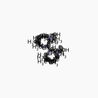 COC1C[C@H](/C=C(\C)[C@H]2OC(=O)[C@@H]3CCCCN3C(=O)C(=O)[C@]3(O)O[C@H]([C@@H](OC)C[C@@H](C)C/C(C)=C/[C@@H](CCCC[C@@H]4/C=C(\C)C[C@H](C)C[C@H](OC)[C@H]5O[C@@](O)(C(=O)C(=O)N6CCCC[C@H]6C(=O)O[C@H](/C(C)=C/[C@@H]6CC[C@@H](O)[C@H](OC)C6)[C@H](C)[C@@H](O)CC4=O)[C@H](C)C[C@@H]5OC)C(=O)C[C@H](O)[C@H]2C)[C@@H](OC)C[C@H]3C)CC[C@H]1O